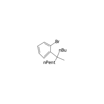 CCCCCC(C)(CCCC)c1ccccc1Br